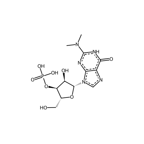 CN(C)c1nc2c(ncn2[C@@H]2O[C@H](CO)[C@@H](OP(=O)(O)O)[C@H]2O)c(=O)[nH]1